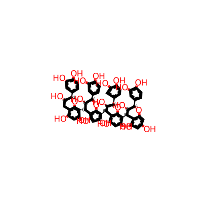 Oc1cc(O)c2c(c1)O[C@H](c1ccc(O)c(O)c1)[C@H](O)[C@H]2c1c(O)cc(O)c2c1O[C@H](c1ccc(O)c(O)c1)[C@H](O)[C@H]2c1c(O)cc(O)c2c1O[C@H](c1ccc(O)c(O)c1)[C@H](O)[C@H]2c1c(O)cc(O)c2c1O[C@H](c1ccc(O)c(O)c1)[C@@H](O)C2